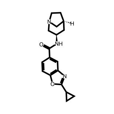 O=C(N[C@@H]1C[C@@H]2CCN(C2)C1)c1ccc2oc(C3CC3)nc2c1